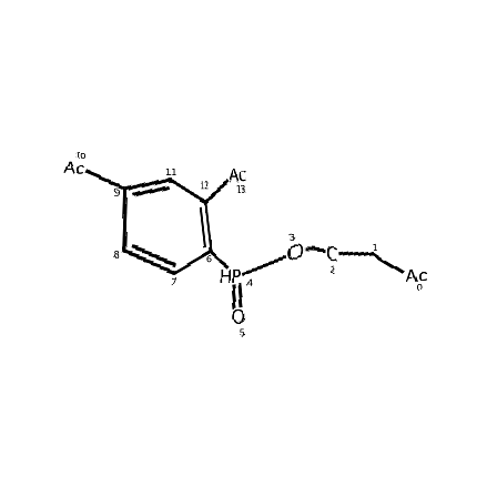 CC(=O)CCO[PH](=O)c1ccc(C(C)=O)cc1C(C)=O